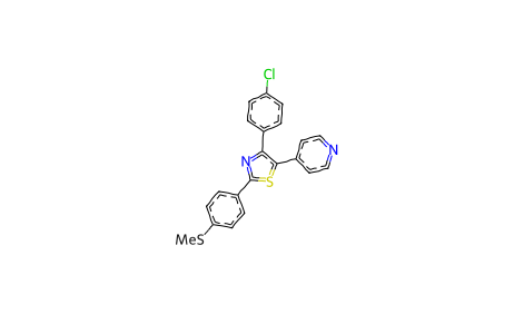 CSc1ccc(-c2nc(-c3ccc(Cl)cc3)c(-c3ccncc3)s2)cc1